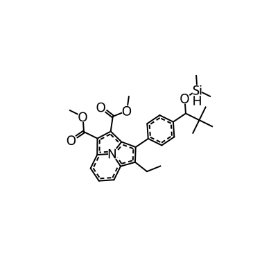 CCc1c(-c2ccc(C(O[SiH](C)C)C(C)(C)C)cc2)c2c(C(=O)OC)c(C(=O)OC)c3cccc1n32